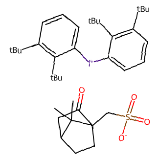 CC(C)(C)c1cccc([I+]c2cccc(C(C)(C)C)c2C(C)(C)C)c1C(C)(C)C.CC1(C)C2CCC1(CS(=O)(=O)[O-])C(=O)C2